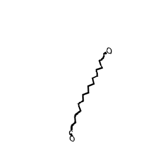 O=C=CCCCCCCCCCCCCCCCC=O